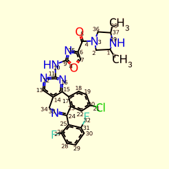 CC1CN(C(=O)c2coc(Nc3ncc4c(n3)-c3ccc(Cl)cc3C(c3c(F)cccc3F)=NC4)n2)CC(C)N1